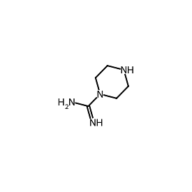 N=C(N)N1CCNCC1